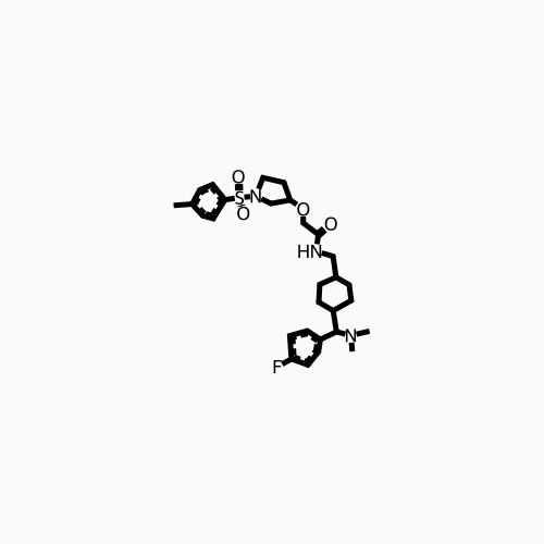 Cc1ccc(S(=O)(=O)N2CCC(OCC(=O)NCC3CCC(C(c4ccc(F)cc4)N(C)C)CC3)C2)cc1